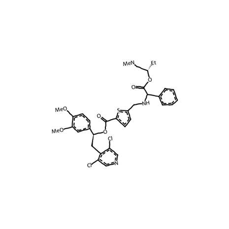 CC[C@@H](CNC)OC(=O)C(NCc1ccc(C(=O)O[C@@H](Cc2c(Cl)cncc2Cl)c2ccc(OC)c(OC)c2)s1)c1ccccc1